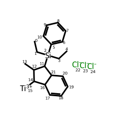 CC[Si](CC)(c1ccccc1)C1C(C)[CH]([Ti+3])C2C=CC=CC21.[Cl-].[Cl-].[Cl-]